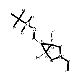 CCN1C[C@@H]2[C@@H](CO[Si](C)(C)C(C)(C)C)[C@@H]2C1